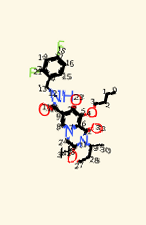 CCCCOc1c2n(cc(C(=O)NCc3ccc(F)cc3F)c1=O)C[C@@H]1OCC[C@H](C)N1C2=O